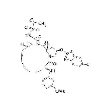 COc1cccc(N[C@H]2CCCCC/C=C\[C@@H]3C[C@@]3(C(=O)NS(=O)(=O)C3(C)CC3)NC(=O)[C@@H]3C[C@@H](Oc4nc5ccc(Cl)cc5s4)CN3C2=O)c1